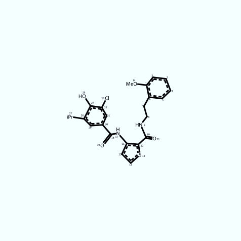 COc1ccccc1CCNC(=O)c1sccc1NC(=O)c1cc(Cl)c(O)c(C(C)C)c1